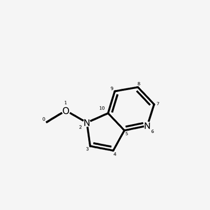 COn1ccc2ncccc21